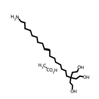 CC(=O)O.NCCCCCCCCC=CCCCCCCCC(CCO)(CCO)CCO